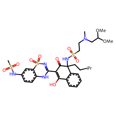 COC(CN(C)CCS(=O)(=O)NC1(CCC(C)C)C(=O)C(C2=NS(=O)(=O)c3cc(NS(C)(=O)=O)ccc3N2)=C(O)c2ccccc21)OC